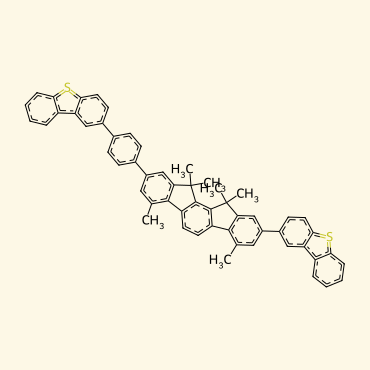 Cc1cc(-c2ccc(-c3ccc4sc5ccccc5c4c3)cc2)cc2c1-c1ccc3c(c1C2(C)C)C(C)(C)c1cc(-c2ccc4sc5ccccc5c4c2)cc(C)c1-3